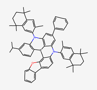 Cc1cc2c(cc1N1c3cc(C(C)C)ccc3B3c4c1cc(-c1ccccc1)cc4N(c1cc4c(cc1C)C(C)(C)CCC4(C)C)c1ccc4c(oc5ccccc54)c13)C(C)(C)CCC2(C)C